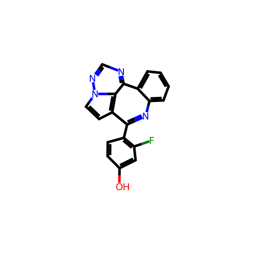 Oc1ccc(C2=Nc3ccccc3-c3ncnn4ccc2c34)c(F)c1